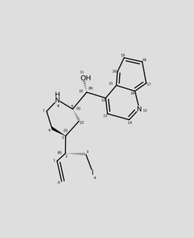 C=C[C@@H](CI)[C@H]1CCN[C@H]([C@H](O)c2ccnc3ccccc23)C1